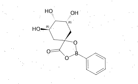 O=C1OB(c2ccccc2)O[C@]12C[C@@H](O)[C@@H](O)[C@H](O)C2